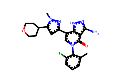 Cc1cccc(F)c1-n1cc(-c2cc(C3CCOCC3)n(C)n2)c2[nH]nc(N)c2c1=O